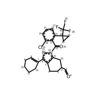 O=CC1CCc2c(C3=CCCCC3)nn(C(=O)c3c(Cl)cccc3C3(C(F)(F)F)CC3)c2C1